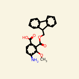 COc1c(N)ccc(C(=O)O)c1C(=O)OCC1c2ccccc2-c2ccccc21